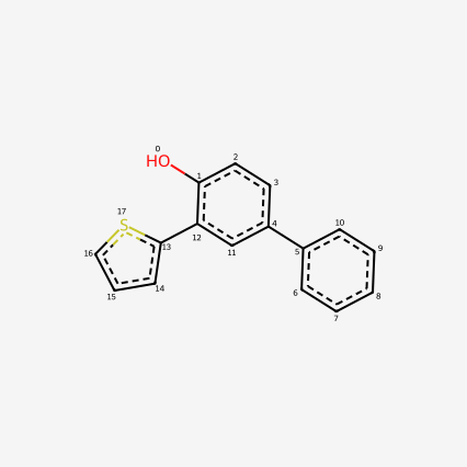 Oc1ccc(-c2ccccc2)cc1-c1cccs1